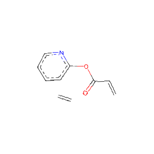 C=C.C=CC(=O)Oc1ccccn1